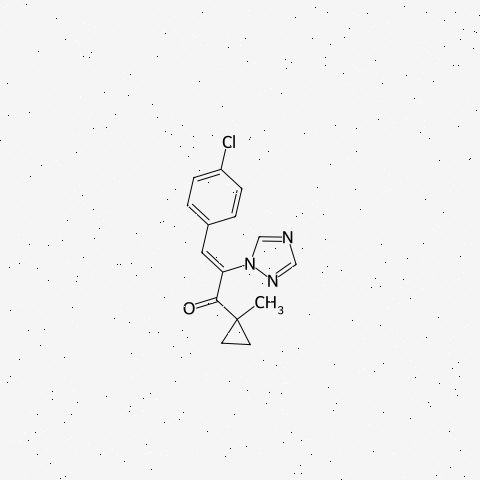 CC1(C(=O)/C(=C/c2ccc(Cl)cc2)n2cncn2)CC1